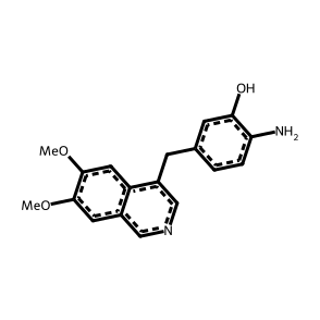 COc1cc2cncc(Cc3ccc(N)c(O)c3)c2cc1OC